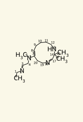 CCN=CCN(C)/C1=C/CCCCNC(C)(C)/C=N\CC1